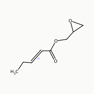 CC/C=C/C(=O)OCC1CO1